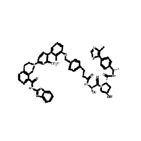 Cc1ncsc1-c1ccc([C@H](C)NC(=O)[C@@H]2C[C@@H](O)CN2C(=O)[C@@H](NC(=O)CCc2ccc(COc3cccc(-c4ccc(N5CCc6cccc(C(=O)Nc7nc8ccccc8s7)c6C5)nc4C(=O)O)c3C)cc2)C(C)(C)C)cc1